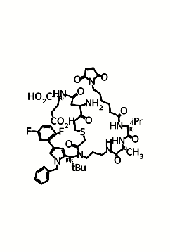 CC(C)[C@@H](NC(=O)CCCCCN1C(=O)C=CC1=O)C(=O)N[C@H](C)C(=O)NCCCN(C(=O)CSCCC(=O)C(N)CC(=O)N[C@H](CCC(=O)O)C(=O)O)[C@@H](c1cc(-c2cc(F)ccc2F)cn1Cc1ccccc1)C(C)(C)C